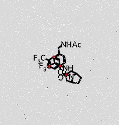 CC(=O)NCc1ccc(OC2CC3CCC(C2)N3C(=O)Nc2ccc(C(F)(F)F)cc2)c(C(F)(F)F)c1